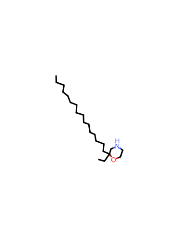 CCCCCCCCCCCCCCCCC1(CC)CNCCO1